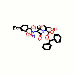 CCc1ccc(C(=O)NC2C(=O)N3C(C(=O)OC(c4ccccc4)c4ccccc4)=C(CO)CS[C@H]23)c(O)c1